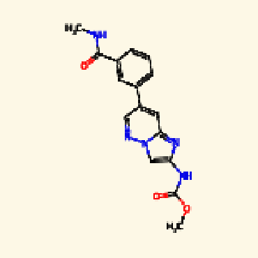 CNC(=O)c1cccc(-c2cnn3cc(NC(=O)OC)nc3c2)c1